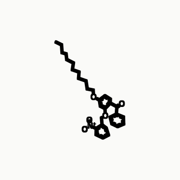 CCCCCCCCCCCCOc1ccc(C(=O)c2ccccc2)c(OCc2ccccc2[N+](=O)[O-])c1